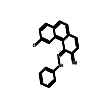 N=C1C=Cc2ccc3ccc(Cl)cc3c2/C1=N/Nc1ccccc1